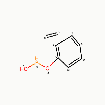 C=C.OPOc1ccccc1